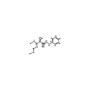 CCCCC(CC)C(=O)NCCc1ccccc1